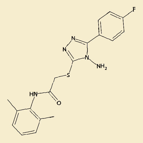 Cc1cccc(C)c1NC(=O)CSc1nnc(-c2ccc(F)cc2)n1N